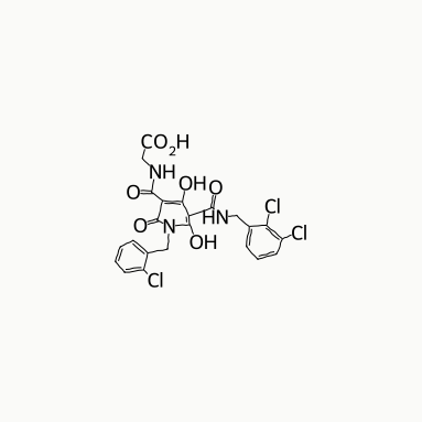 O=C(O)CNC(=O)c1c(O)c(C(=O)NCc2cccc(Cl)c2Cl)c(O)n(Cc2ccccc2Cl)c1=O